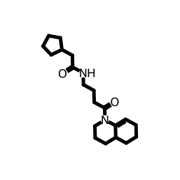 O=C(CC1CCCC1)NCCCC(=O)N1CCCC2CCCC=C21